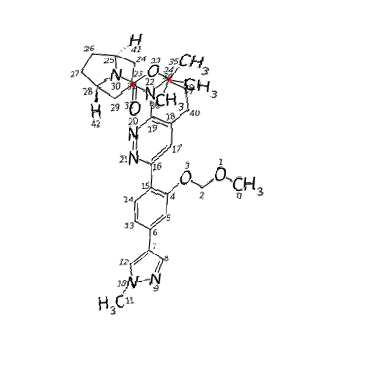 COCOc1cc(-c2cnn(C)c2)ccc1-c1cc2c(nn1)N(C1C[C@@H]3CC[C@@H](C1)N3C(=O)OC(C)(C)C)CCC2